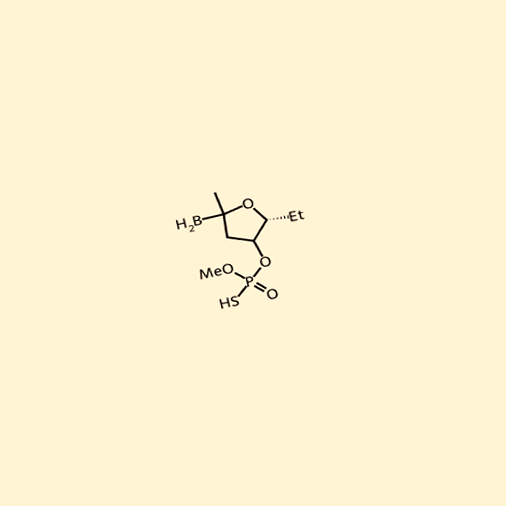 BC1(C)CC(OP(=O)(S)OC)[C@@H](CC)O1